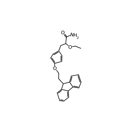 CCOC(Cc1ccc(OCCC2c3ccccc3-c3ccccc32)cc1)C(N)=O